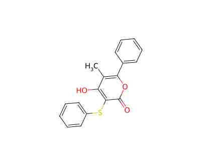 Cc1c(-c2ccccc2)oc(=O)c(Sc2ccccc2)c1O